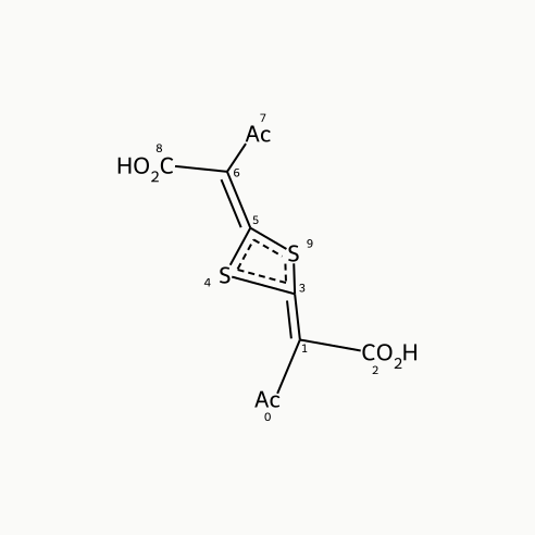 CC(=O)C(C(=O)O)=c1sc(=C(C(C)=O)C(=O)O)s1